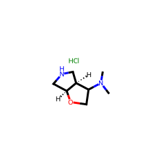 CN(C)C1CO[C@H]2CNC[C@@H]12.Cl